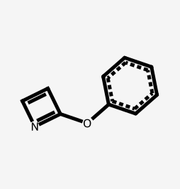 C1=CC(Oc2ccccc2)=N1